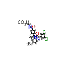 CC(C)C(c1ccc(C(=O)NCCC(=O)O)cc1)N1C(=O)C(c2cc(Cl)cc(Cl)c2)=NC12CCC(C(C)(C)C)CC2